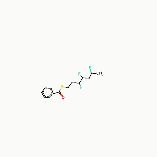 CC(F)CC(F)C(F)CCSC(=O)c1ccccc1